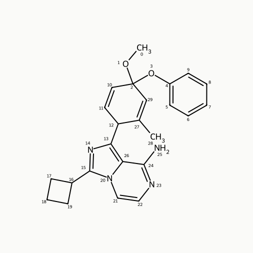 COC1(Oc2ccccc2)C=CC(c2nc(C3CCC3)n3ccnc(N)c23)C(C)=C1